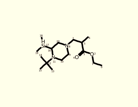 CCOC(=O)C(C)CN1CCN(C(C)(C)C)C([SiH](C)C)C1